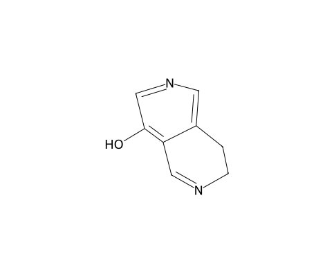 Oc1cncc2c1C=NCC2